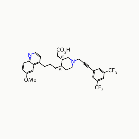 COc1ccc2nccc(CCC[C@@H]3CCN(CC#Cc4cc(C(F)(F)F)cc(C(F)(F)F)c4)C[C@@H]3CC(=O)O)c2c1